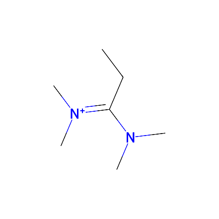 CCC(N(C)C)=[N+](C)C